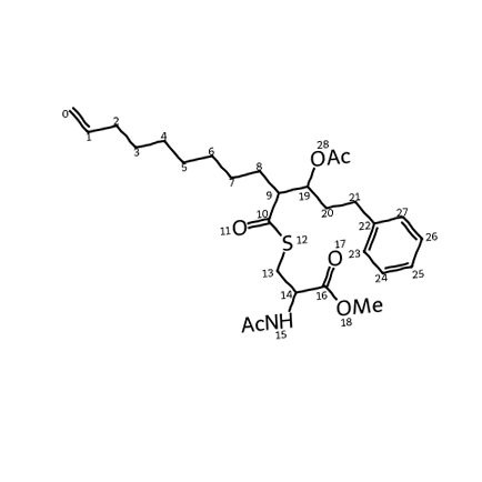 C=CCCCCCCCC(C(=O)SCC(NC(C)=O)C(=O)OC)C(CCc1ccccc1)OC(C)=O